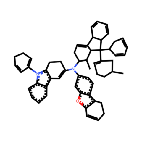 CC1CCC=C(C2(C3C=CC=CC3)C3C=CC=CC3C3=CCC(N(C4=Cc5c(n(C6=CCCC=C6)c6ccccc56)CC4)c4ccc5c6c(oc5c4)C=CCC6)C(C)C32)C1